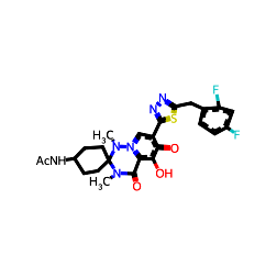 CC(=O)NC1CCC2(CC1)N(C)C(=O)c1c(O)c(=O)c(-c3nnc(Cc4ccc(F)cc4F)s3)cn1N2C